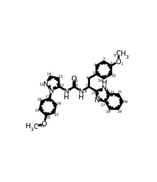 COc1ccc(CC(NC(=O)Nc2ccnn2-c2ccc(OC)cc2)c2nc3ccccc3[nH]2)cc1